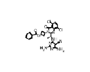 C[C@H](Nc1nc(N)nc(N)c1C#N)c1nc2c(Cl)ccc(Cl)c2c(=O)n1[C@H]1C[C@H](OC(=O)c2ccccc2)C1